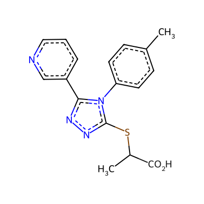 Cc1ccc(-n2c(SC(C)C(=O)O)nnc2-c2cccnc2)cc1